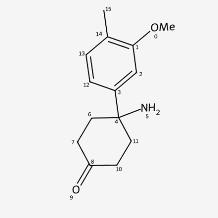 COc1cc(C2(N)CCC(=O)CC2)ccc1C